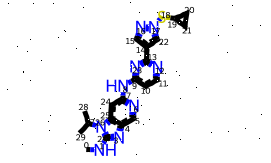 CNc1nc2cnc(Nc3ccnc(-c4cnn(SC5CC5)c4)n3)cc2n1C(C)C